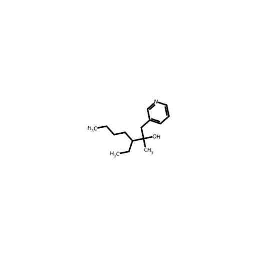 CCCCC(CC)C(C)(O)Cc1cccnc1